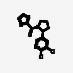 O=C(c1nccs1)N1CCCC1c1cnc(Cl)c(Cl)c1